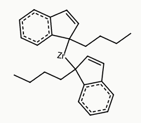 CCCC[C]1([Zr][C]2(CCCC)C=Cc3ccccc32)C=Cc2ccccc21